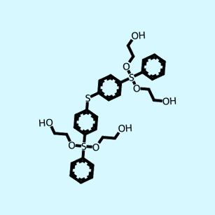 OCCOS(OCCO)(c1ccccc1)c1ccc(Sc2ccc(S(OCCO)(OCCO)c3ccccc3)cc2)cc1